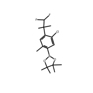 Cc1cc(C(C)(C)C(F)F)c(Cl)cc1B1OC(C)(C)C(C)(C)O1